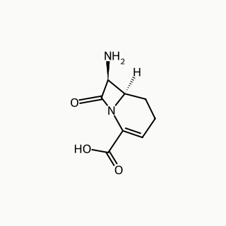 N[C@@H]1C(=O)N2C(C(=O)O)=CCC[C@H]12